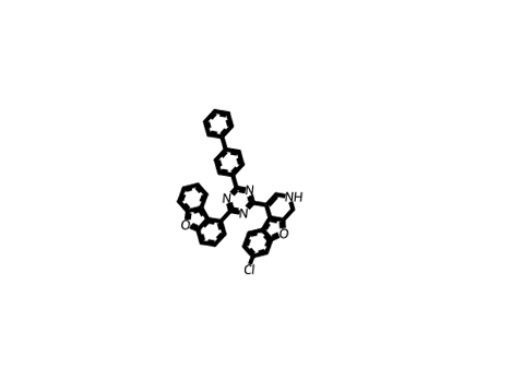 Clc1ccc2c3c(oc2c1)CNC=C3c1nc(-c2ccc(-c3ccccc3)cc2)nc(-c2cccc3oc4ccccc4c23)n1